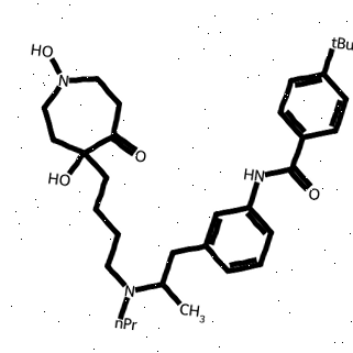 CCCN(CCCCC1(O)CCN(O)CCC1=O)C(C)Cc1cccc(NC(=O)c2ccc(C(C)(C)C)cc2)c1